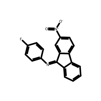 O=[N+]([O-])c1ccc2c(c1)C(=Nc1ccc(F)cc1)c1ccccc1-2